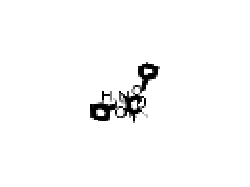 C[C@H]1[C@H](OCc2ccccc2)[C@@H](N)C(OCc2ccccc2)O[C@@H]1C